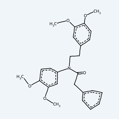 COc1ccc(CCN(C(=O)Cc2ccccc2)c2ccc(OC)c(OC)c2)cc1OC